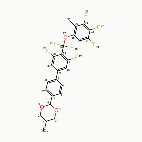 CCC1COC(c2ccc(-c3cc(F)c(C(F)(F)Oc4cc(F)c(F)c(F)c4C)c(F)c3)cc2)OC1